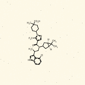 CC(CN(C(=O)c1cnn(C2CCC(C)(C(=O)O)CC2)c1C(F)(F)F)C1C[C@@H]2[C@H](C1)C2(C)C)c1c[nH]c2cccc(Cl)c12